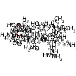 CC(C)C[C@H](NC(=O)[C@H](CC(C)C)NC(=O)[C@H](CCCCN)NC(=O)[C@H](CCCNC(=N)N)NC(=O)[C@H](Cc1ccc(O)cc1)NC(=O)[C@H](CCC(N)=O)NC(=O)[C@H](CCC(N)=O)NC(=O)[C@H](CCCNC(=N)N)NC(=O)[C@@H](NC(=O)[C@H](CC(=O)O)NC(=O)[C@@H](C)CO)[C@@H](C)O)C(N)=O